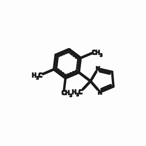 Cc1ccc(C)c(C2(C)N=CC=N2)c1C